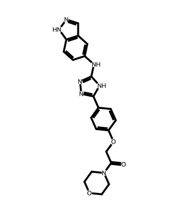 O=C(COc1ccc(-c2nnc(Nc3ccc4[nH]ncc4c3)[nH]2)cc1)N1CCOCC1